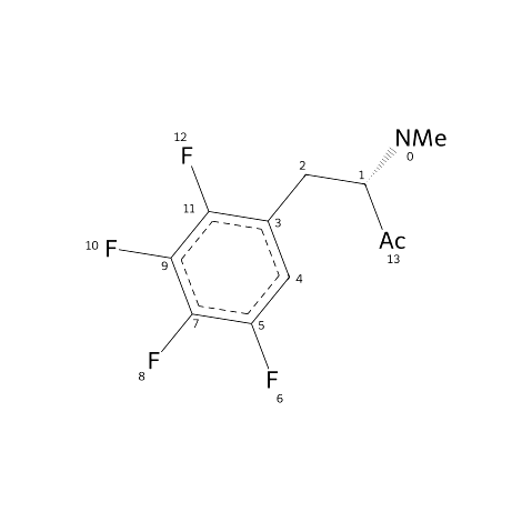 CN[C@@H](Cc1cc(F)c(F)c(F)c1F)C(C)=O